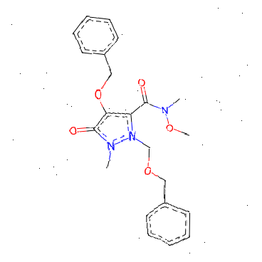 CON(C)C(=O)c1c(OCc2ccccc2)c(=O)n(C)n1COCc1ccccc1